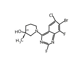 C[C@@]1(O)CCCN(c2nc(F)nc3c(F)c(Br)c(Cl)cc23)C1